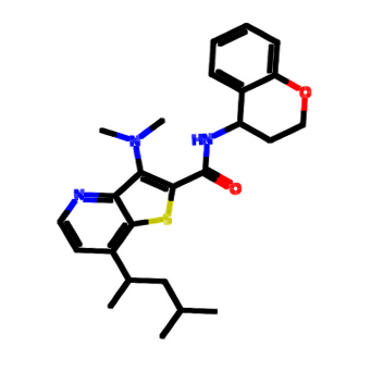 CC(C)CC(C)c1ccnc2c(N(C)C)c(C(=O)NC3CCOc4ccccc43)sc12